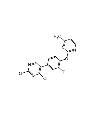 Cc1ccnc(Oc2ccc(-c3cnc(Cl)nc3Cl)cc2F)n1